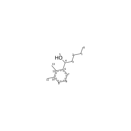 CCCCC(O)c1cccc(C)c1C